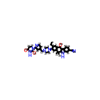 CCc1cc2c(cc1N1CCN(Cc3ccnc(N4CCC(=O)NC4=O)c3)CC1)C(C)(C)c1[nH]c3cc(C#N)ccc3c1C2=O